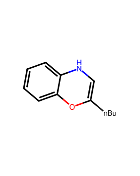 [CH2]CCCC1=CNc2ccccc2O1